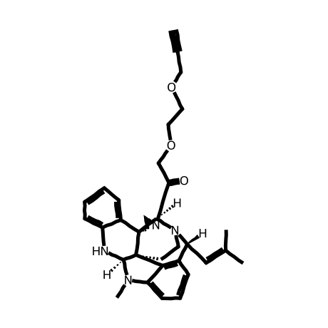 C#CCOCCOCC(=O)N1CC[C@@]23c4ccccc4N[C@@H]4N(C)c5cccc6c5[C@@]42CCN([C@@H]6C=C(C)C)[C@@H]13